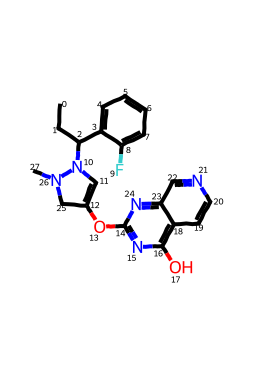 CCC(c1ccccc1F)N1C=C(Oc2nc(O)c3ccncc3n2)CN1C